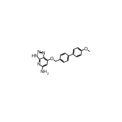 COc1ccc(-c2ccc(COc3cc(N)nc4[nH]nnc34)cc2)cc1